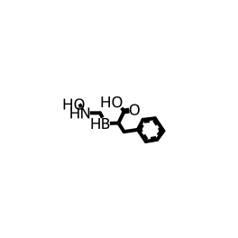 O=C(O)C(BCNO)Cc1ccccc1